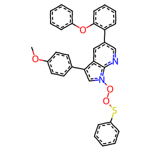 COc1ccc(-c2cn(OOSc3ccccc3)c3ncc(-c4ccccc4Oc4ccccc4)cc23)cc1